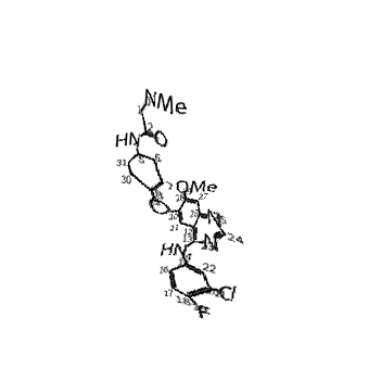 CNCC(=O)NC1CCC(Oc2cc3c(Nc4ccc(F)c(Cl)c4)ncnc3cc2OC)CC1